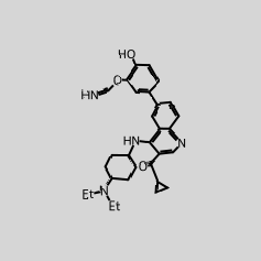 CCN(CC)C1CCC(Nc2c(C(=O)C3CC3)cnc3ccc(-c4ccc(O)c(OC=N)c4)cc23)CC1